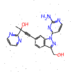 CC(O)(C#Cc1ccc2c(CO)nn(-c3ccnc(N)n3)c2c1)c1ncccn1